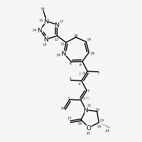 C=C/C(=C\C(C)=C(/C)C1=CN=C(c2nnn(C)n2)CC=C1)N1C[C@H](C)OC1=C